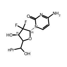 CCCC(O)C1O[C@@H](n2ccc(N)nc2=O)C(F)(F)[C@@H]1O